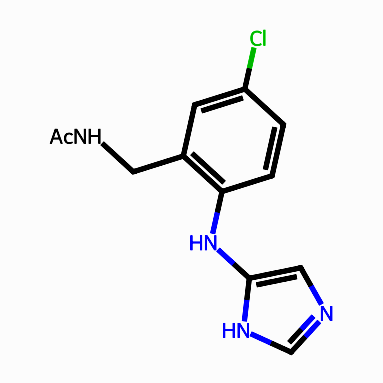 CC(=O)NCc1cc(Cl)ccc1Nc1cnc[nH]1